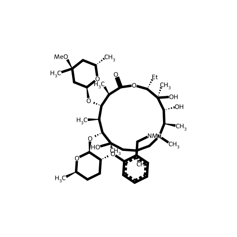 CC[C@H]1OC(=O)[C@H](C)[C@@H](O[C@H]2C[C@@](C)(OC)C[C@H](C)O2)[C@H](C)[C@@H](O[C@@H]2O[C@H](C)CC[C@H]2Oc2ccccc2CNC)[C@](C)(O)C[C@@H](C)CN(C)[C@H](C)[C@@H](O)[C@]1(C)O